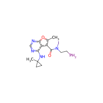 Cc1oc2ncnc(NC3(C)CC3)c2c1C(=O)N(I)CCP